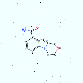 NC(=O)c1cccc2c1cc1n2CCOC1